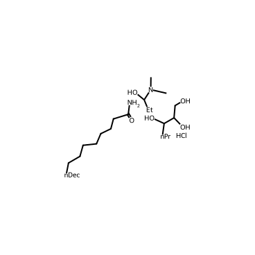 CCC(O)N(C)C.CCCC(O)C(O)CO.CCCCCCCCCCCCCCCCCC(N)=O.Cl